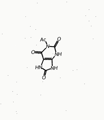 CC(=O)n1c(=O)[nH]c2[nH]c(=O)[nH]c2c1=O